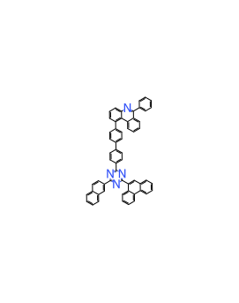 c1ccc(-c2nc3cccc(-c4ccc(-c5ccc(-c6nc(-c7ccc8ccccc8c7)nc(-c7cc8ccccc8c8ccccc78)n6)cc5)cc4)c3c3ccccc23)cc1